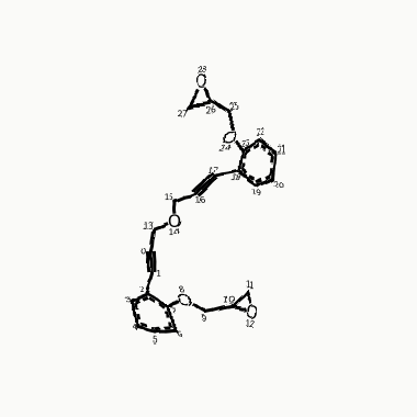 C(#Cc1ccccc1OCC1CO1)COCC#Cc1ccccc1OCC1CO1